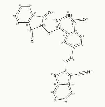 N#Cc1c(C=Nc2ccc3c(=O)[nH]nc(CN4C(=O)c5ccccc5C4=O)c3c2)sc2ccccc12